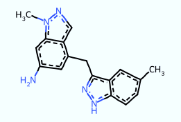 Cc1ccc2[nH]nc(Cc3cc(N)cc4c3cnn4C)c2c1